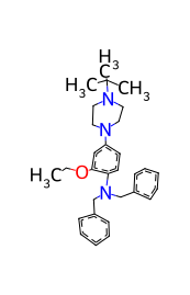 CCOc1cc(N2CCN(C(C)(C)C)CC2)ccc1N(Cc1ccccc1)Cc1ccccc1